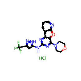 Cl.FC(F)(F)c1cc(Nc2nc(N3CCOCC3)c3oc4ncccc4c3n2)[nH]n1